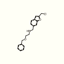 ClCc1cc2ccc(CNCCOCc3ccccc3)cc2o1